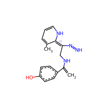 C=C(NC/C(N=N)=C1/NC=CC=C1C)c1ccc(O)cc1